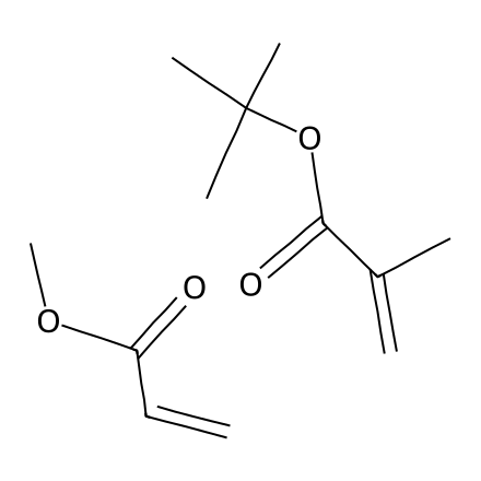 C=C(C)C(=O)OC(C)(C)C.C=CC(=O)OC